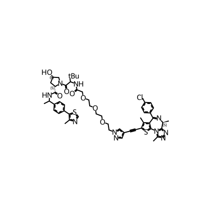 Cc1ncsc1-c1ccc(C(C)NC(=O)[C@@H]2C[C@@H](O)CN2C(=O)C(NC(=O)COCCOCCOCCn2cc(C#Cc3sc4c(c3C)C(c3ccc(Cl)cc3)=N[C@@H](C)c3nnc(C)n3-4)cn2)C(C)(C)C)cc1